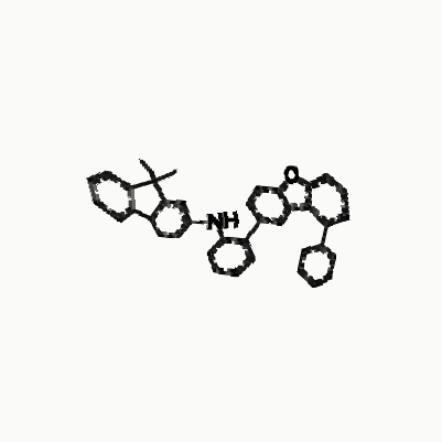 CC1(C)c2ccccc2-c2ccc(Nc3ccccc3-c3ccc4oc5cccc(-c6ccccc6)c5c4c3)cc21